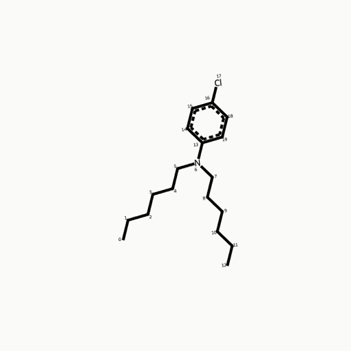 CCCCCCN(CCCCCC)c1ccc(Cl)cc1